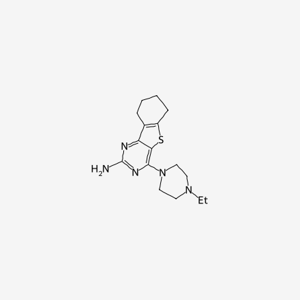 CCN1CCN(c2nc(N)nc3c4c(sc23)CCCC4)CC1